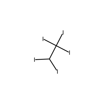 IC(I)C(I)(I)I